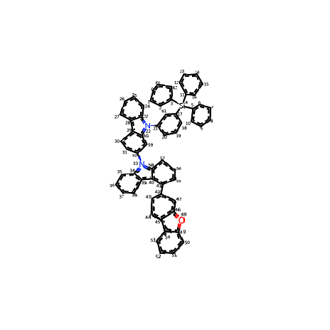 c1ccc([Si](c2ccccc2)(c2ccccc2)c2cccc(-n3c4ccccc4c4ccc(-n5c6ccccc6c6c(-c7ccc8c(c7)oc7ccccc78)cccc65)cc43)c2)cc1